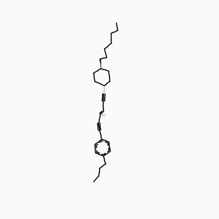 CCCCCCC[C@H]1CC[C@H](C#C/C=C/C#Cc2ccc(CCCC)cc2)CC1